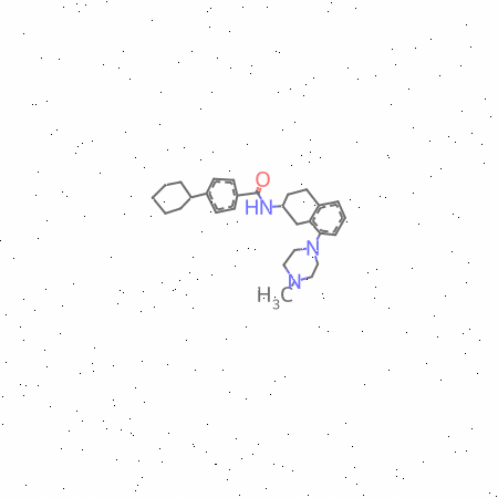 CN1CCN(c2cccc3c2CC(NC(=O)c2ccc(C4CCCCC4)cc2)CC3)CC1